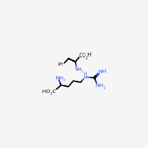 CC(C)CC(N)C(=O)O.N=C(N)NCCCC(N)C(=O)O